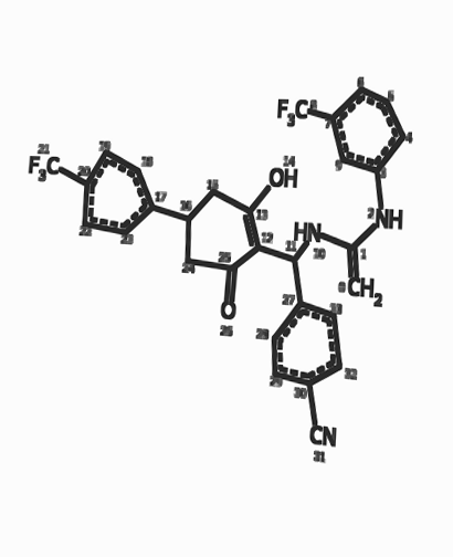 C=C(Nc1cccc(C(F)(F)F)c1)NC(C1=C(O)CC(c2ccc(C(F)(F)F)cc2)CC1=O)c1ccc(C#N)cc1